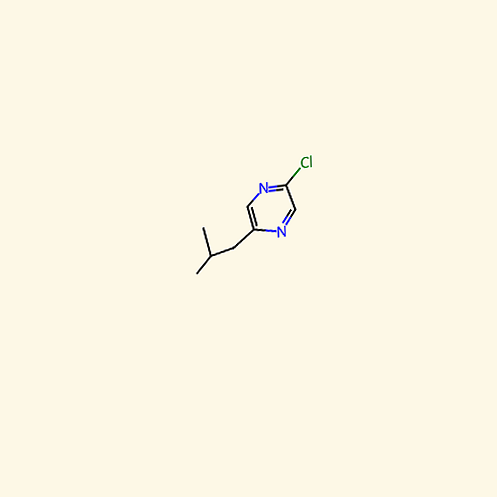 CC(C)Cc1cnc(Cl)cn1